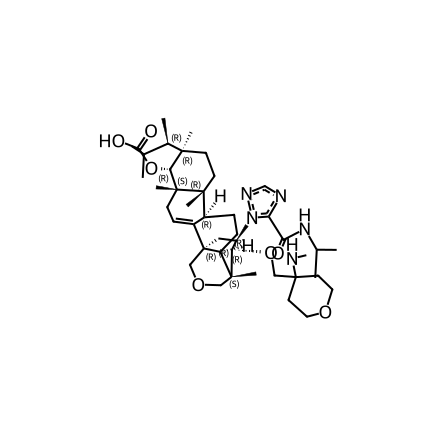 CNC1(CO[C@H]2[C@H](n3ncnc3C(=O)NC(C)C)C[C@@]34COC[C@]2(C)[C@@H]3CC[C@H]2C4=CC[C@]3(C)[C@H](OC(=O)O)[C@@](C)([C@H](C)C(C)C)CC[C@]23C)CCOCC1